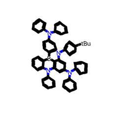 CC(C)(C)c1ccc(N2c3cc(N(c4ccccc4)c4ccccc4)ccc3B3c4ccccc4N(c4ccccc4)c4cc(N(c5ccccc5)c5ccccc5)cc2c43)cc1